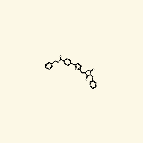 O=C(OCc1cccnc1)c1ccc(-c2ccc(/C=C3\SC(=S)N(Cc4ccccc4)C3=O)o2)cc1